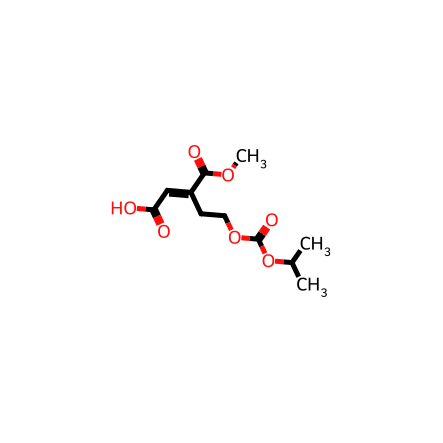 COC(=O)/C(=C/C(=O)O)CCOC(=O)OC(C)C